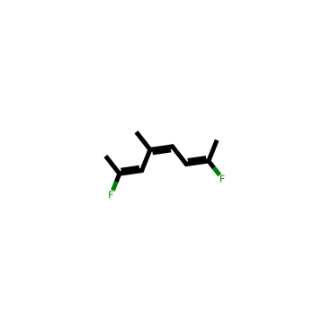 CC(=C/C=C(\C)F)/C=C(\C)F